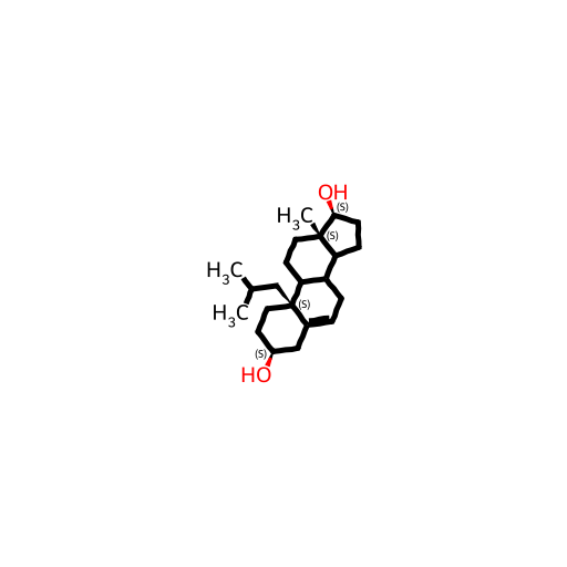 CC(C)C[C@]12CC[C@H](O)CC1=CCC1C2CC[C@@]2(C)C1CC[C@@H]2O